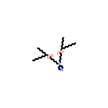 CCCCCCCCC(CCCCCC)COC(=O)CCCCCN(CCCCCC(=O)OCC(CCCCCC)CCCCCCCC)c1ccncc1